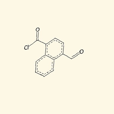 O=Cc1ccc(C(=O)Cl)c2ccccc12